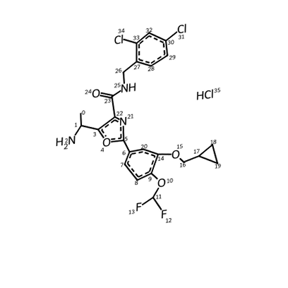 CC(N)c1oc(-c2ccc(OC(F)F)c(OCC3CC3)c2)nc1C(=O)NCc1ccc(Cl)cc1Cl.Cl